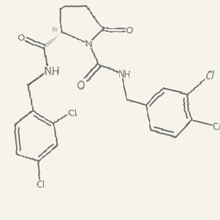 O=C(NCc1ccc(Cl)cc1Cl)[C@@H]1CCC(=O)N1C(=O)NCc1ccc(Cl)c(Cl)c1